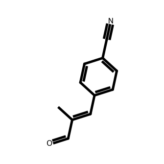 C/C(C=O)=C\c1ccc(C#N)cc1